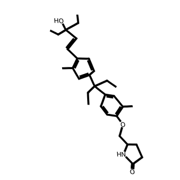 CCC(O)(C=Cc1ccc(C(CC)(CC)c2ccc(OCC3CCC(=O)N3)c(C)c2)cc1C)CC